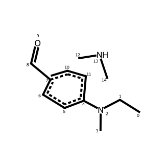 CCN(C)c1ccc(C=O)cc1.CNC